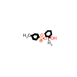 Cc1ccc(S(=O)(=O)O[C@@H]2CCCC[C@]2(C)O)cc1